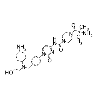 CC(C)(N)C(=O)N1CCN(C(=O)Nc2ccn(-c3ccc(CN(CCO)C4CCC(N)CC4)cc3)c(=O)n2)CC1